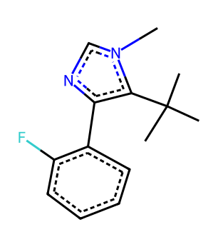 Cn1cnc(-c2ccccc2F)c1C(C)(C)C